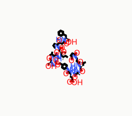 CC[C@H](C)[C@@H]([C@@H](CC(=O)N1CCC[C@H]1[C@H](OC)[C@@H](C)C(=O)N[C@H](CO)Cc1ccccc1)OC)N(C)C(=O)[C@@H](NC(=O)[C@H](CO)N(C)C(=O)OCc1ccc(NC(=O)[C@H](CCC(=O)O)NC(=O)[C@H](C)NC(=O)[C@@H](CC(C)C)NC(=O)CCN2C(=O)C=CC2=O)cc1)C(C)C